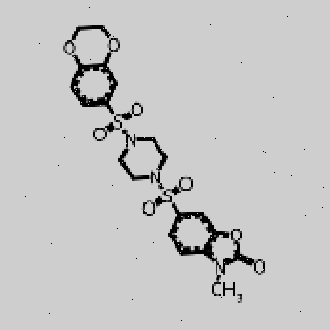 Cn1c(=O)oc2cc(S(=O)(=O)N3CCN(S(=O)(=O)c4ccc5c(c4)OCCO5)CC3)ccc21